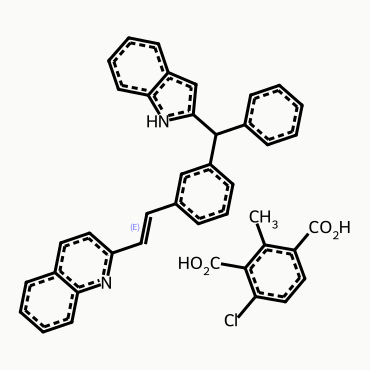 C(=C\c1ccc2ccccc2n1)/c1cccc(C(c2ccccc2)c2cc3ccccc3[nH]2)c1.Cc1c(C(=O)O)ccc(Cl)c1C(=O)O